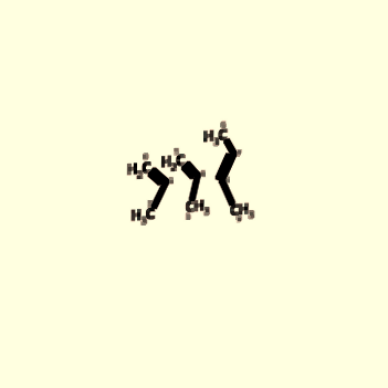 C=CC.C=CC.CC=CC